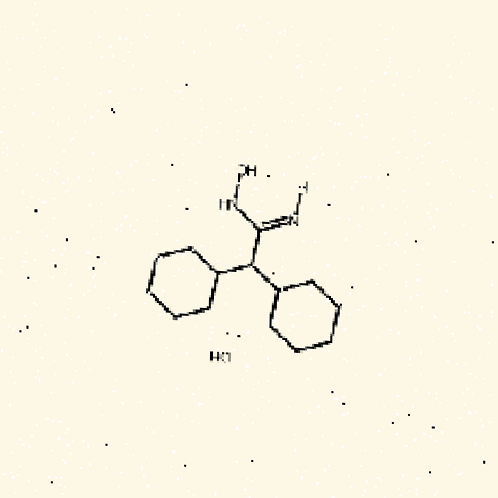 Cl.[H]/N=C(\NO)C(C1CCCCC1)C1CCCCC1